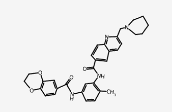 Cc1ccc(NC(=O)c2ccc3c(c2)OCCO3)cc1NC(=O)c1ccc2nc(CN3CCCCC3)ccc2c1